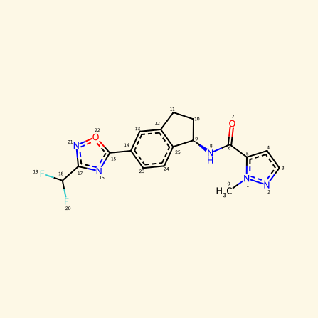 Cn1nccc1C(=O)N[C@@H]1CCc2cc(-c3nc(C(F)F)no3)ccc21